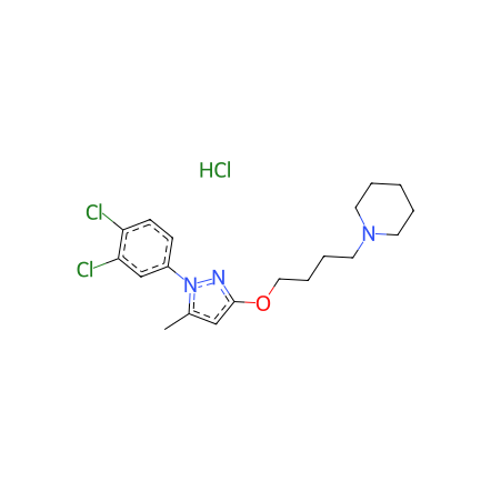 Cc1cc(OCCCCN2CCCCC2)nn1-c1ccc(Cl)c(Cl)c1.Cl